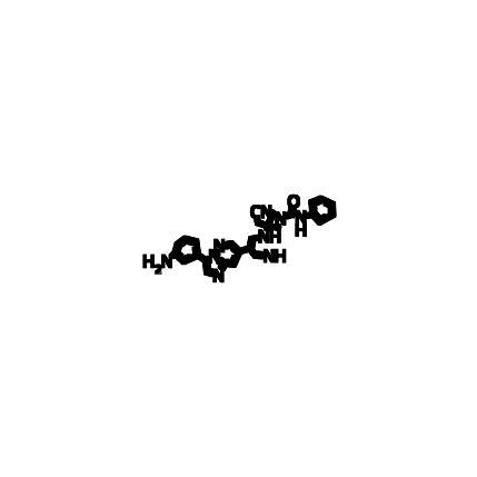 N#CCC1(N/C=C(\C=N)c2cnn3c(-c4cccc(N)c4)cnc3c2)CN(C(=O)Nc2ccccc2)C1